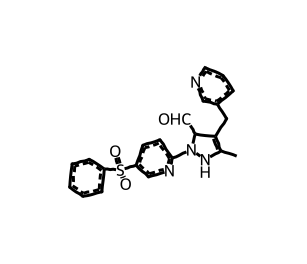 CC1=C(Cc2cccnc2)C(C=O)N(c2ccc(S(=O)(=O)c3ccccc3)cn2)N1